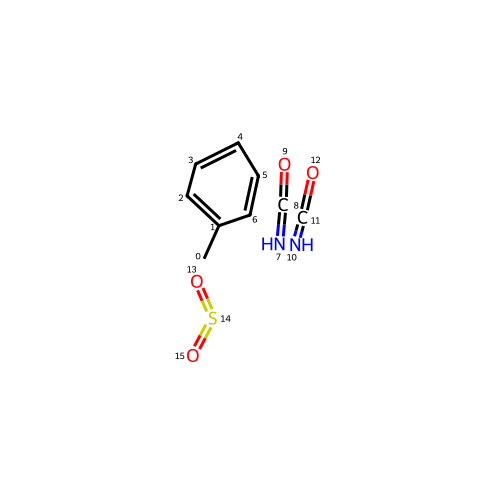 Cc1ccccc1.N=C=O.N=C=O.O=S=O